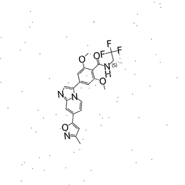 COc1cc(-c2cnc3cc(-c4cc(C)no4)ccn23)cc(OC)c1C(=O)N[C@@H](C)C(F)(F)F